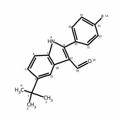 CC(C)(C)c1ccc2[nH]c(-c3ccc(F)cc3)c(C=O)c2c1